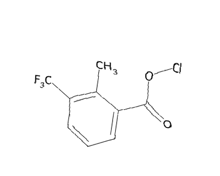 Cc1c(C(=O)OCl)cccc1C(F)(F)F